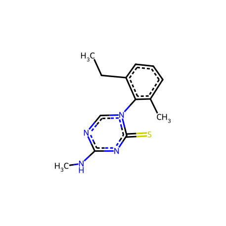 CCc1cccc(C)c1-n1cnc(NC)nc1=S